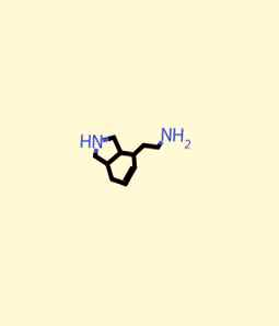 NCCC1C=CCC2CNCC12